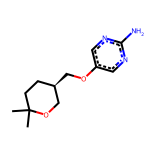 CC1(C)CC[C@@H](COc2cnc(N)nc2)CO1